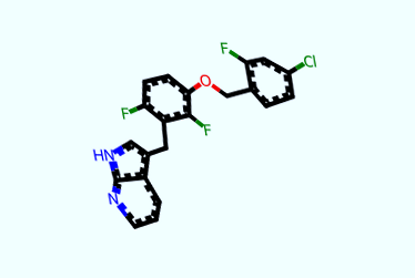 Fc1cc(Cl)ccc1COc1ccc(F)c(Cc2c[nH]c3ncccc23)c1F